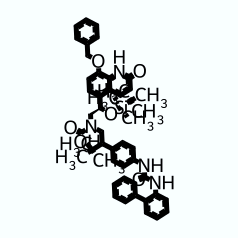 CC(C)(C)C(CN(C[C@H](O[Si](C)(C)C(C)(C)C)c1ccc(OCc2ccccc2)c2[nH]c(=O)ccc12)C(=O)O)c1ccc(NC(=O)Nc2ccccc2-c2ccccc2)cc1